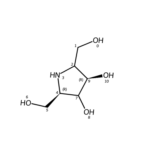 OCC1N[C@H](CO)C(O)[C@@H]1O